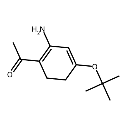 CC(=O)C1=C(N)C=C(OC(C)(C)C)CC1